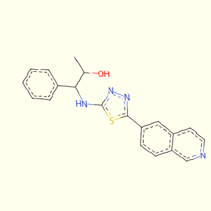 CC(O)C(Nc1nnc(-c2ccc3cnccc3c2)s1)c1ccccc1